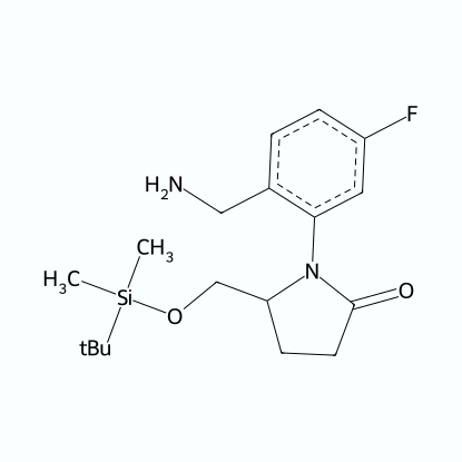 CC(C)(C)[Si](C)(C)OCC1CCC(=O)N1c1cc(F)ccc1CN